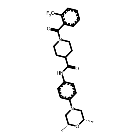 C[C@@H]1CN(c2ccc(NC(=O)C3CCN(C(=O)c4ccccc4C(F)(F)F)CC3)cc2)C[C@H](C)O1